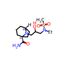 CCN(CC(O)CN1[C@@H]2C[CH]C[C@@]1(C(N)=O)CC2)S(C)(=O)=O